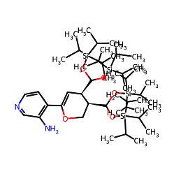 CC(C)[Si](OC(O[Si](C(C)C)(C(C)C)C(C)C)[C@H]1COC(c2ccncc2N)=C[C@H]1C(O[Si](C(C)C)(C(C)C)C(C)C)O[Si](C(C)C)(C(C)C)C(C)C)(C(C)C)C(C)C